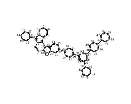 C1=CC2C(c3ccccc3N2c2ccccc2)c2c1oc1cc(-c3ccc(-c4nc(-c5ccccc5)nc(-c5ccc(-c6ccccc6)cc5)n4)cc3)ccc21